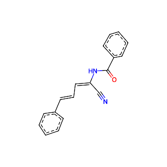 N#C/C(=C\C=C\c1ccccc1)NC(=O)c1ccccc1